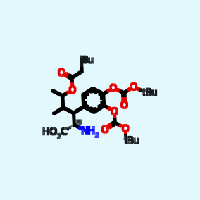 CCC(C)CC(=O)OC(C)C(C)C(c1ccc(OC(=O)OC(C)(C)C)c(OC(=O)OC(C)(C)C)c1)[C@H](N)C(=O)O